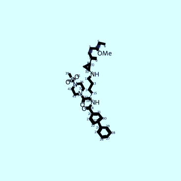 C=C(/C=C\C(=C\C)OC)[C@@H]1C[C@H]1NCCCC[C@H](NC(=O)c1ccc(-c2ccccc2)cc1)C(=O)N1CCN(S(C)(=O)=O)CC1